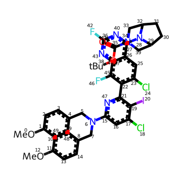 COc1ccc(CN(Cc2ccc(OC)cc2)c2cc(Cl)c(I)c(-c3c(Cl)cc4c(N5C6CCC5CN(C(=O)OC(C)(C)C)C6)nc(F)nc4c3F)n2)cc1